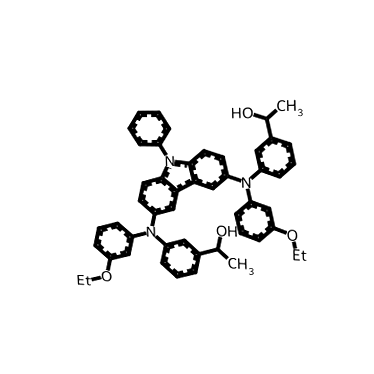 CCOc1cccc(N(c2cccc(C(C)O)c2)c2ccc3c(c2)c2cc(N(c4cccc(OCC)c4)c4cccc(C(C)O)c4)ccc2n3-c2ccccc2)c1